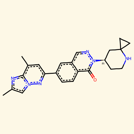 Cc1cn2nc(-c3ccc4c(=O)n([C@@H]5CCNC6(CC6)C5)ncc4c3)cc(C)c2n1